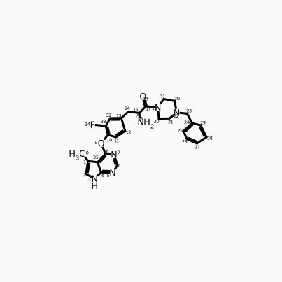 Cc1c[nH]c2ncnc(Oc3ccc(C[C@H](N)C(=O)N4CCN(Cc5ccccc5)CC4)cc3F)c12